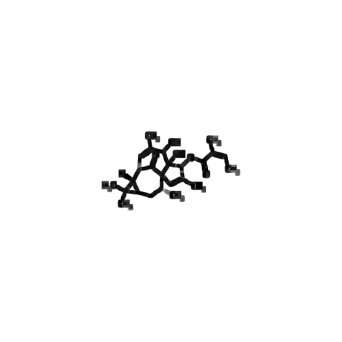 C/C=C(/C)C(=O)OC1C(C)=CC23C(=O)C(C=C(C)C(O)C12O)[C@@H]1C(C[C@H]3C)C1(C)C